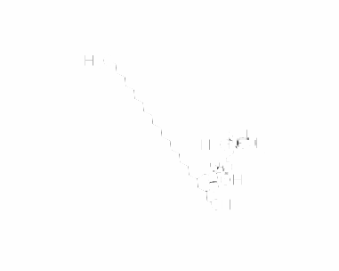 CCCCCCCCCCCCCCCCCCCC(COP(=O)(O)OCC[N+](C)(C)C)CC(=O)CC